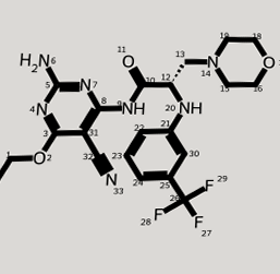 CCOc1nc(N)nc(NC(=O)[C@H](CN2CCOCC2)Nc2cccc(C(F)(F)F)c2)c1C#N